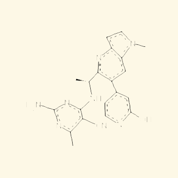 Cc1nc(N)nc(N[C@@H](C)c2nc3ccn(C)c3cc2-c2ccnc(O)c2)c1C#N